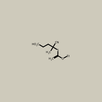 C=C(OCC)SC(C)(C#N)CCC(=O)O